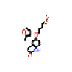 Cc1ccco1.O=S=CCCCOc1ccc2c(c1)CCC(=O)N2